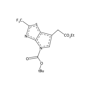 CCOC(=O)Cc1cn(C(=O)OC(C)(C)C)c2nc(C(F)(F)F)sc12